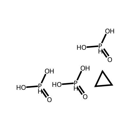 C1CC1.O=[PH](O)O.O=[PH](O)O.O=[PH](O)O